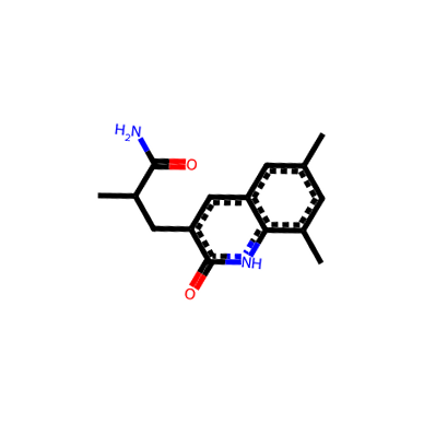 Cc1cc(C)c2[nH]c(=O)c(CC(C)C(N)=O)cc2c1